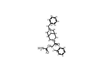 NC(=O)O[C@@H](Cc1ccccc1)C(=O)N1CC2CC(CN(Cc3ccccc3)C2)C1